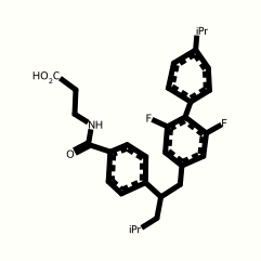 CC(C)CC(Cc1cc(F)c(-c2ccc(C(C)C)cc2)c(F)c1)c1ccc(C(=O)NCCC(=O)O)cc1